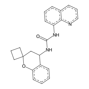 O=C(Nc1cccc2cccnc12)NC1CC2(CCC2)Oc2ccccc21